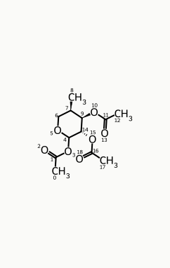 CC(=O)OC1OC[C@@H](C)[C@@H](OC(C)=O)[C@@H]1OC(C)=O